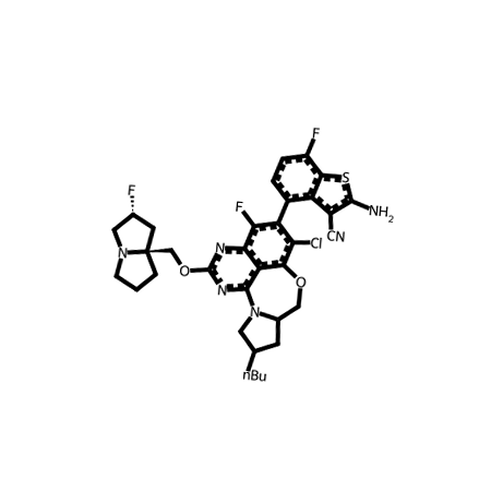 CCCCC1CC2COc3c(Cl)c(-c4ccc(F)c5sc(N)c(C#N)c45)c(F)c4nc(OC[C@@]56CCCN5C[C@H](F)C6)nc(c34)N2C1